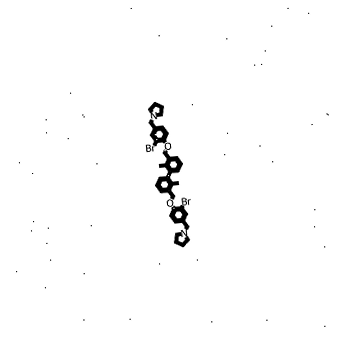 Cc1c(COc2ccc(CN3CCCC3)cc2Br)cccc1-c1cccc(COc2ccc(CN3CCCC3)cc2Br)c1C